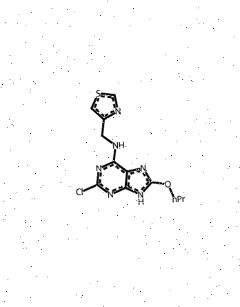 CCCOc1nc2c(NCc3cscn3)nc(Cl)nc2[nH]1